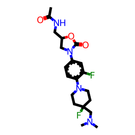 CC(=O)NCC1CN(c2ccc(N3CCC(F)(CN(C)C)CC3)c(F)c2)C(=O)O1